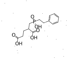 O=C(O)CCC(CP(=O)(O)CCc1ccccc1)C(=O)O